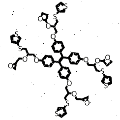 c1cc(SCC(COc2ccc(C(=C(c3ccc(OCC(CSc4ccsc4)OC4CCO4)cc3)c3ccc(OCC(CSc4ccsc4)OC4CCO4)cc3)c3ccc(OCC(CSc4ccsc4)OCC4CO4)cc3)cc2)OCC2CO2)cs1